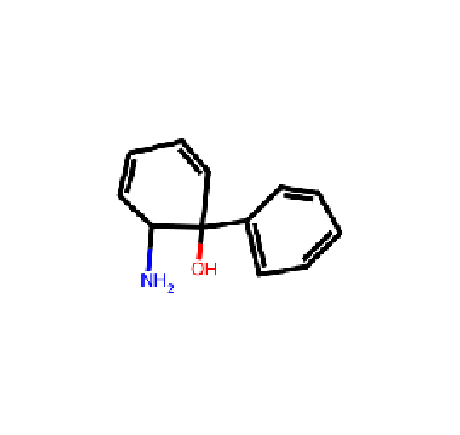 NC1C=CC=CC1(O)c1ccccc1